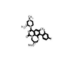 CO[C@@H]1CSc2c(-c3ccc(F)cc3F)c(C(F)(F)F)cc3c(N4CCN(C)C[C@@H]4C)nc(=O)n(c23)C1